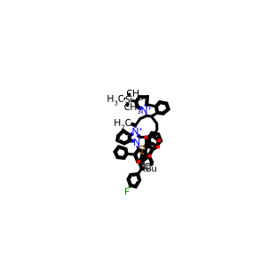 C=C1CC2C(CCc3ccc4c(sc5cc(-c6ccc(F)cc6)ccc54)c3-c3n(-c4c(-c5ccccc5)cc(C(C)(C)C)cc4-c4ccccc4)c4ccccc4[n+]31)c1ccccc1-c1ccc([Si](C)(C)C)c[n+]12